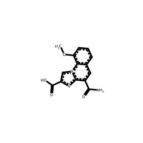 COc1cccc2cc(C(N)=O)c3nc(C(=O)O)cn3c12